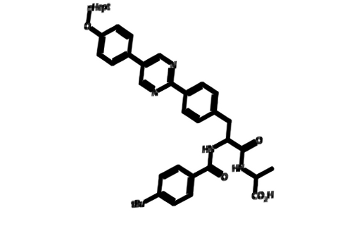 CCCCCCCOc1ccc(-c2cnc(-c3ccc(CC(NC(=O)c4ccc(C(C)(C)C)cc4)C(=O)NC(C)C(=O)O)cc3)nc2)cc1